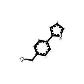 NCc1ccc(-c2cc[c]o2)cc1